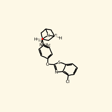 CC(=O)N[C@H]1CC2C[C@@H](C1)N2Cc1ccc(Oc2nc3c(Cl)cccc3s2)cc1